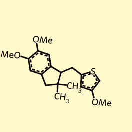 COc1csc(CC2c3cc(OC)c(OC)cc3CC2(C)C)c1